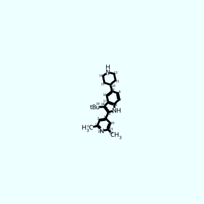 Cc1cc(-c2[nH]c3ccc(C4CCNCC4)cc3c2C(C)(C)C)cc(C)n1